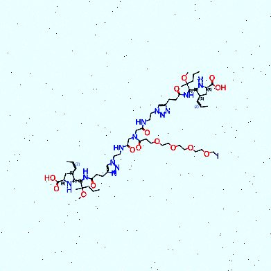 C/C=C\[C@@H]1C[C@H](C(=O)O)N[C@H]1[C@@H](NC(=O)CCc1cn(CCNC(=O)CN(CC(=O)NCCn2cc(CCC(=O)N[C@H]([C@@H]3N[C@@H](C(=O)O)C[C@H]3/C=C\C)C(C)(CCC)OC)nn2)C(=O)CCOCCOCCOCCOCI)nn1)C(C)(CCC)OC